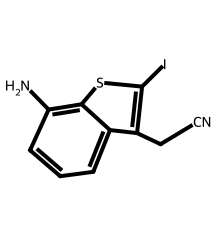 N#CCc1c(I)sc2c(N)cccc12